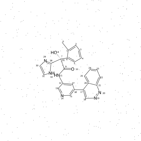 Cc1ccccc1[C@@](O)(C(=O)Nc1cncc(-c2cnnc3ccccc23)c1)c1ncc[nH]1